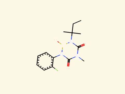 CCC(C)(C)N1C(=O)N(C)C(=O)N(c2ccccc2F)[S+]1[O-]